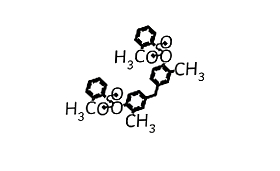 Cc1cc(Cc2ccc(OS(=O)(=O)c3ccccc3C)c(C)c2)ccc1OS(=O)(=O)c1ccccc1C